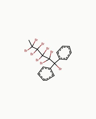 CC(Br)(Br)C(Br)(Br)C(Br)(Br)C(Br)(Br)C(Br)(c1ccccc1)c1ccccc1